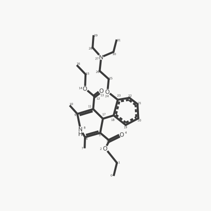 CCOC(=O)C1=C(C)NC(C)=C(C(=O)OCC)C1c1ccccc1OCCN(CC)CC